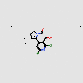 O=CN1CCCC1c1cc(Cl)nc(Cl)c1CO